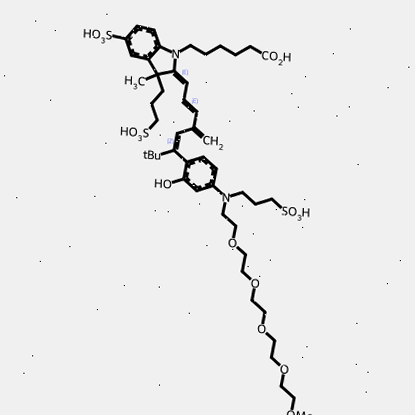 C=C(/C=C(\c1ccc(N(CCCS(=O)(=O)O)CCOCCOCCOCCOCCOC)cc1O)C(C)(C)C)/C=C/C=C1/N(CCCCCC(=O)O)c2ccc(S(=O)(=O)O)cc2C1(C)CCCS(=O)(=O)O